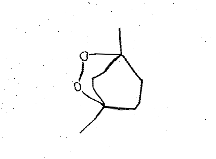 CC12CCC(C)(C1)OO2